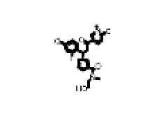 CN(CCO)C(=O)c1cccc(C(CC(=O)c2ccc(=O)n(C)c2)c2ccc(Cl)cc2F)c1